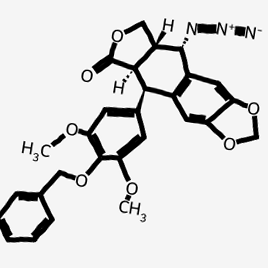 COc1cc([C@@H]2c3cc4c(cc3[C@@H](N=[N+]=[N-])[C@H]3COC(=O)[C@H]23)OCO4)cc(OC)c1OCc1ccccc1